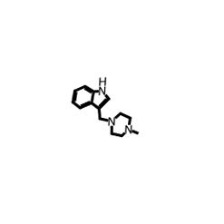 CN1CCN(Cc2c[nH]c3ccccc23)CC1